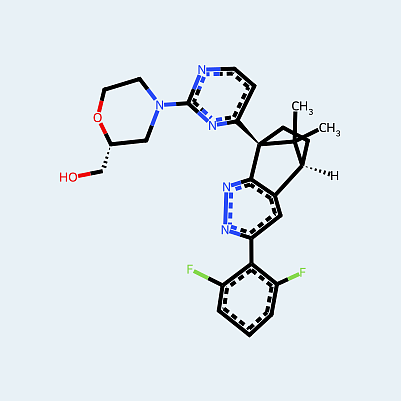 CC1(C)[C@H]2CC[C@@]1(c1ccnc(N3CCO[C@@H](CO)C3)n1)c1nnc(-c3c(F)cccc3F)cc12